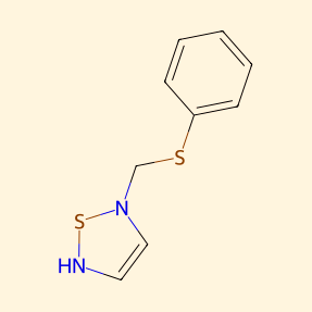 C1=CN(CSc2ccccc2)SN1